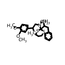 COc1ccc(C(C)CN(C)C2(C(C)Cc3ccccc3)SCCCS2)cc1OC